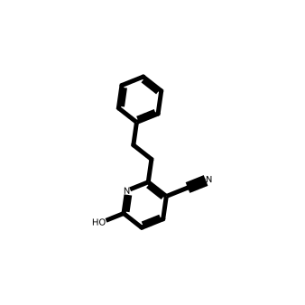 N#Cc1ccc(O)nc1CCc1ccccc1